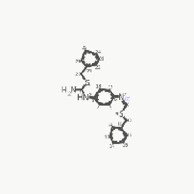 NC(Nc1ccc(/N=C\SCc2ccccc2)cc1)SCc1ccccc1